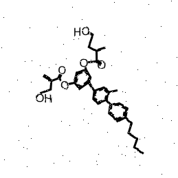 C=C(CCO)C(=O)Oc1cc(OC(=O)C(C)CCO)cc(-c2ccc(-c3ccc(CCCCC)cc3)c(C)c2)c1